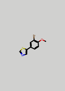 COc1ccc(-c2cn[c]s2)cc1Br